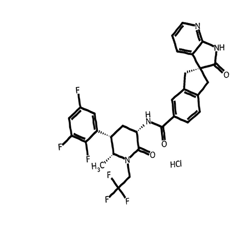 C[C@@H]1[C@H](c2cc(F)cc(F)c2F)C[C@H](NC(=O)c2ccc3c(c2)C[C@@]2(C3)C(=O)Nc3ncccc32)C(=O)N1CC(F)(F)F.Cl